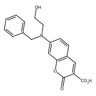 O=C(O)c1cc2ccc(N(CCO)Cc3ccccc3)cc2oc1=O